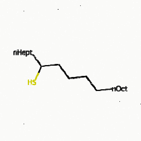 CCCCCCCCCCCCC(S)CCCCCCC